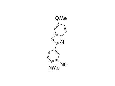 CNc1ccc(-c2nc3ccc(OC)cc3s2)cc1N=O